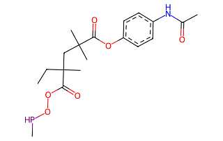 CCC(C)(CC(C)(C)C(=O)Oc1ccc(NC(C)=O)cc1)C(=O)OOPC